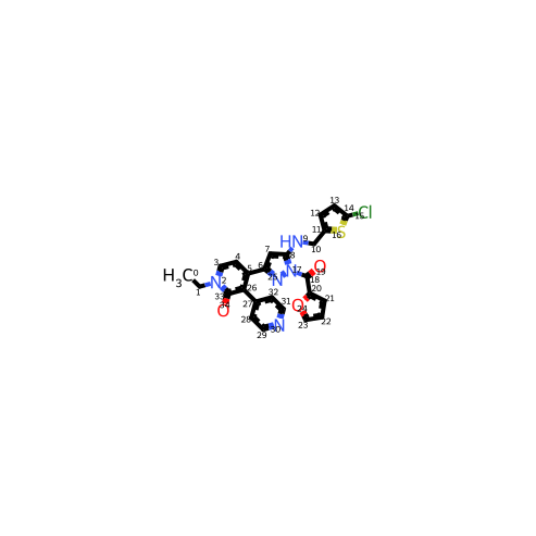 CCn1ccc(-c2cc(NCc3ccc(Cl)s3)n(C(=O)c3ccco3)n2)c(-c2ccncc2)c1=O